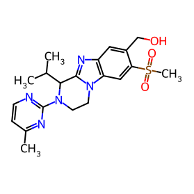 Cc1ccnc(N2CCn3c(nc4cc(CO)c(S(C)(=O)=O)cc43)C2C(C)C)n1